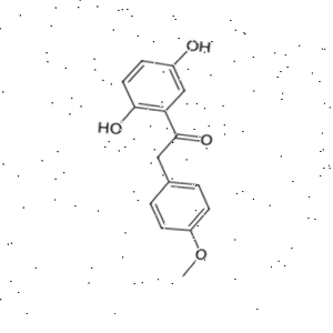 COc1ccc(CC(=O)c2cc(O)ccc2O)cc1